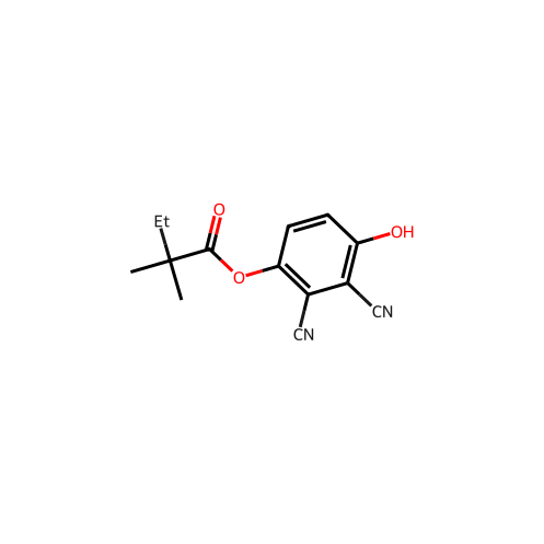 CCC(C)(C)C(=O)Oc1ccc(O)c(C#N)c1C#N